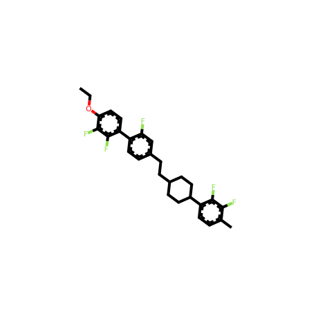 CCOc1ccc(-c2ccc(CCC3CCC(c4ccc(C)c(F)c4F)CC3)cc2F)c(F)c1F